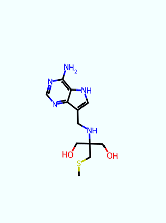 CSCC(CO)(CO)NCc1c[nH]c2c(N)ncnc12